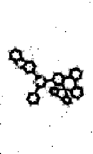 c1ccc(-c2cc(-c3ccc4c(c3)C3(c5ccccc5-c5ccccc5-4)c4ccccc4-c4ccccc43)nc(-c3ccc4c(c3)oc3ccccc34)n2)cc1